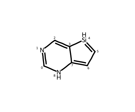 c1ncc2[siH]ccc-2[nH]1